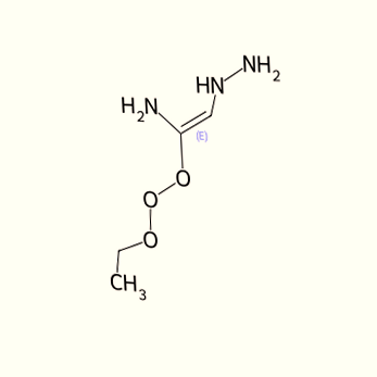 CCOOO/C(N)=C/NN